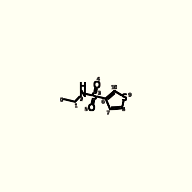 CCNS(=O)(=O)c1ccsc1